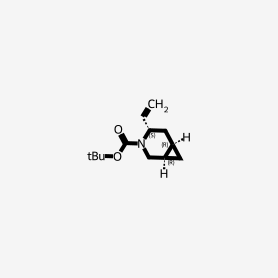 C=C[C@@H]1C[C@H]2C[C@H]2CN1C(=O)OC(C)(C)C